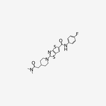 CN(C)C(=O)CC1CCN(c2nc3sc(C(=O)Nc4ccc(F)cc4)cc3s2)CC1